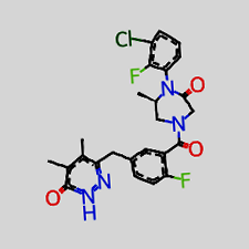 Cc1c(Cc2ccc(F)c(C(=O)N3CC(=O)N(c4cccc(Cl)c4F)[C@H](C)C3)c2)n[nH]c(=O)c1C